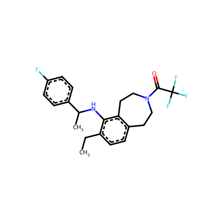 CCc1ccc2c(c1NC(C)c1ccc(F)cc1)CCN(C(=O)C(F)(F)F)CC2